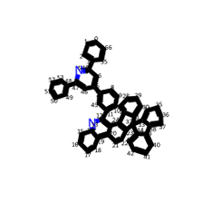 c1ccc(-c2cc(-c3cccc(-c4nc5ccccc5c5ccc6c(c45)-c4ccccc4C64c5ccccc5-c5ccccc54)c3)cc(-c3ccccc3)n2)cc1